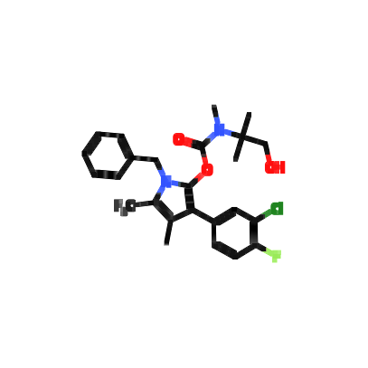 Cc1c(-c2ccc(F)c(Cl)c2)c(OC(=O)N(C)C(C)(C)CO)n(Cc2ccccc2)c1C(F)(F)F